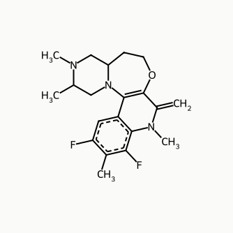 C=C1C2=C(c3cc(F)c(C)c(F)c3N1C)N1CC(C)N(C)CC1CCO2